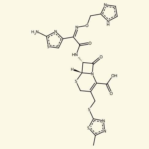 Cc1nnc(SCC2=C(C(=O)O)N3C(=O)[C@@H](NC(=O)/C(=N\OCc4ncc[nH]4)c4csc(N)n4)[C@H]3SC2)s1